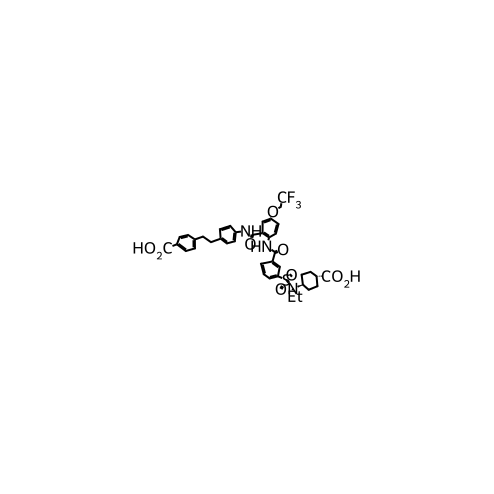 CCN([C@H]1CC[C@H](C(=O)O)CC1)S(=O)(=O)c1cccc(C(=O)Nc2ccc(OCC(F)(F)F)cc2C(=O)Nc2ccc(CCc3ccc(C(=O)O)cc3)cc2)c1